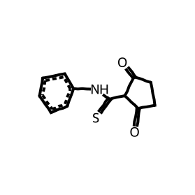 O=C1CCC(=O)C1C(=S)Nc1ccccc1